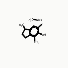 CNC.Cc1c(O)c(I)cc2c1CCC2C